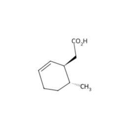 C[C@@H]1CCC=C[C@H]1CC(=O)O